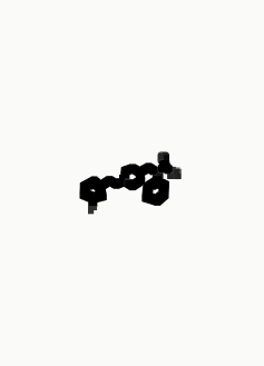 CCC(=O)N(CC1CCN(CCc2cccc(F)c2)CC1)c1ccccc1